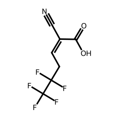 N#CC(=CCC(F)(F)C(F)(F)F)C(=O)O